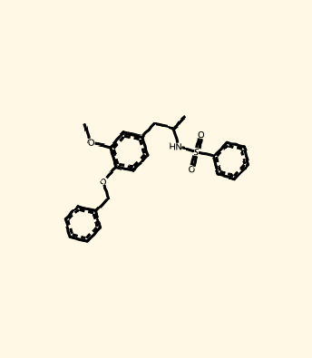 COc1cc(CC(C)NS(=O)(=O)c2ccccc2)ccc1OCc1ccccc1